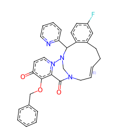 O=C1c2c(OCc3ccccc3)c(=O)ccn2N2CN1C/C=C/CCc1cc(F)ccc1C2c1ccccn1